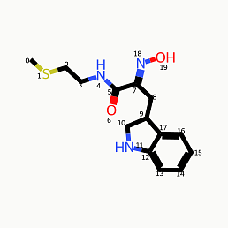 CSCCNC(=O)/C(CC1CNc2ccccc21)=N/O